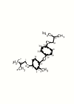 Cc1cc(OCC(C)C)ccc1Oc1ccc(OCC(C)C)cc1